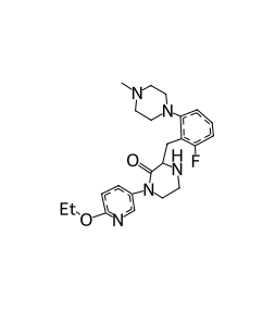 CCOc1ccc(N2CCNC(Cc3c(F)cccc3N3CCN(C)CC3)C2=O)cn1